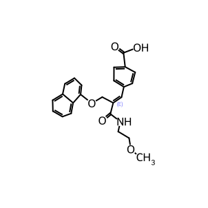 COCCNC(=O)/C(=C/c1ccc(C(=O)O)cc1)COc1cccc2ccccc12